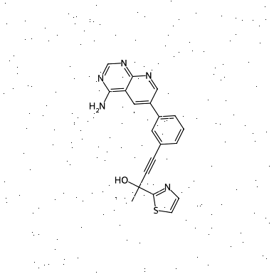 CC(O)(C#Cc1cccc(-c2cnc3ncnc(N)c3c2)c1)c1nccs1